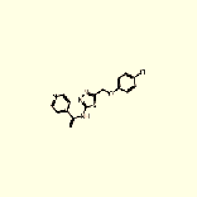 C=C(Nc1nnc(COc2ccc(Cl)cc2)s1)c1ccncc1